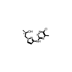 Cc1nc(Nc2ccn(C[C@@H](C)O)n2)nnc1Cl